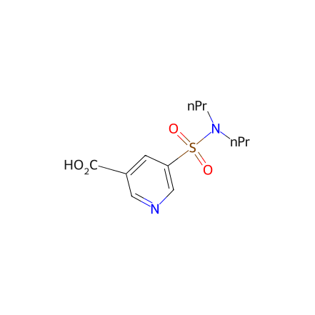 CCCN(CCC)S(=O)(=O)c1cncc(C(=O)O)c1